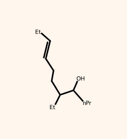 CCC=CCCC(CC)C(O)CCC